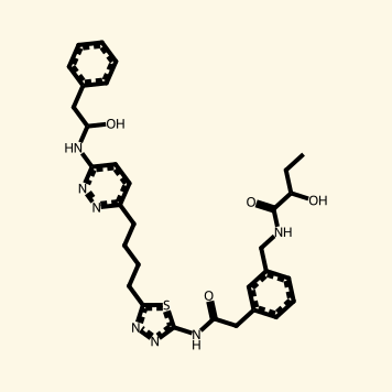 CCC(O)C(=O)NCc1cccc(CC(=O)Nc2nnc(CCCCc3ccc(NC(O)Cc4ccccc4)nn3)s2)c1